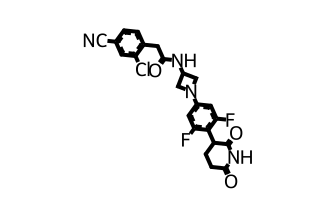 N#Cc1ccc(CC(=O)NC2CN(c3cc(F)c(C4CCC(=O)NC4=O)c(F)c3)C2)c(Cl)c1